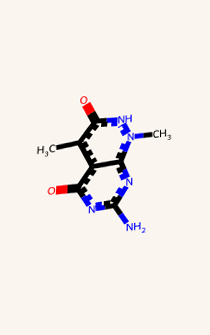 Cc1c2c(=O)nc(N)nc-2n(C)[nH]c1=O